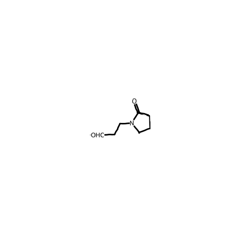 O=[C]CCN1CCCC1=O